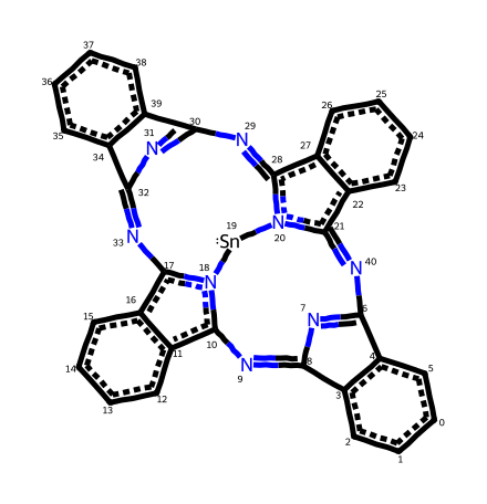 c1ccc2c(c1)C1=NC2=Nc2c3ccccc3c3[n]2[Sn][n]2c(c4ccccc4c2=NC2=NC(=N3)c3ccccc32)=N1